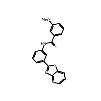 COc1cccc(C(=O)Nc2cccc(-c3nc4ncccc4s3)c2)c1